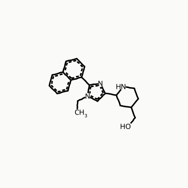 CCn1cc(C2CC(CO)CCN2)nc1-c1cccc2ccccc12